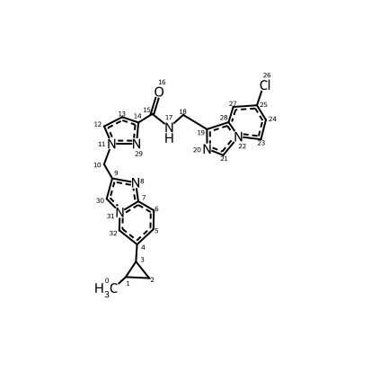 CC1CC1c1ccc2nc(Cn3ccc(C(=O)NCc4ncn5ccc(Cl)cc45)n3)cn2c1